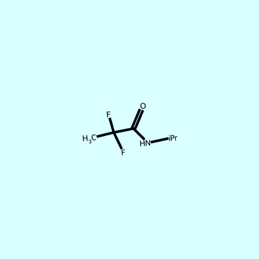 CC(C)NC(=O)C(C)(F)F